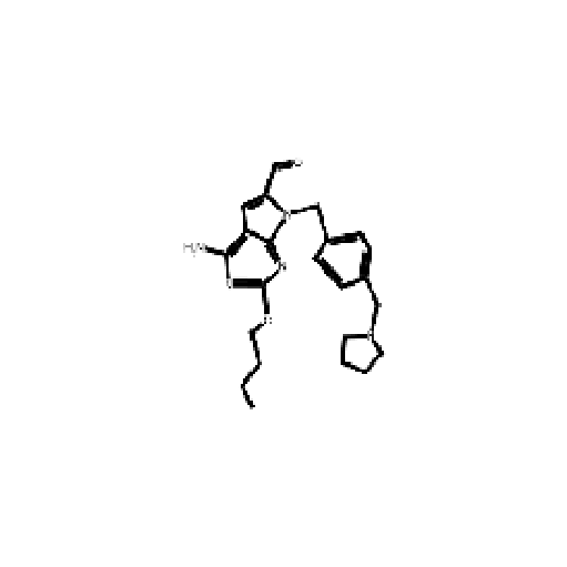 CCCCOc1nc(N)c2cc(C=O)n(Cc3ccc(CN4CCCC4)cc3)c2n1